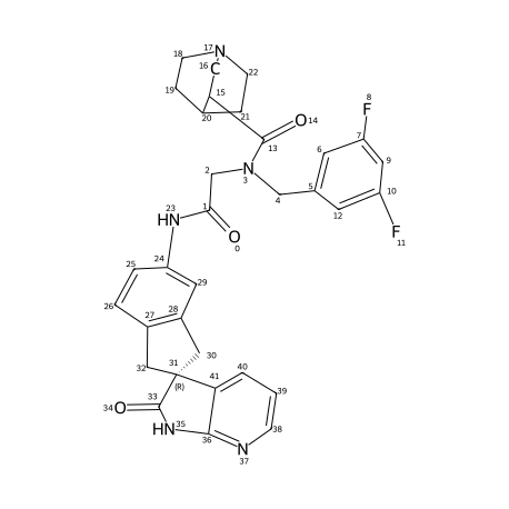 O=C(CN(Cc1cc(F)cc(F)c1)C(=O)C1CN2CCC1CC2)Nc1ccc2c(c1)C[C@@]1(C2)C(=O)Nc2ncccc21